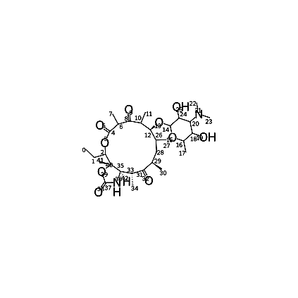 CCC1OC(=O)C(C)C(=O)C(C)[C@@H](OC2OC(C)C(O)C(N(C)C)C2O)C(C)C[C@@H](C)C(=O)[C@H](C)[C@H]2NC(=O)O[C@]12C